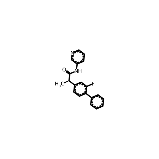 C[C@@H](C(=O)Nc1cccnc1)c1ccc(-c2ccccc2)c(F)c1